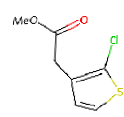 COC(=O)Cc1ccsc1Cl